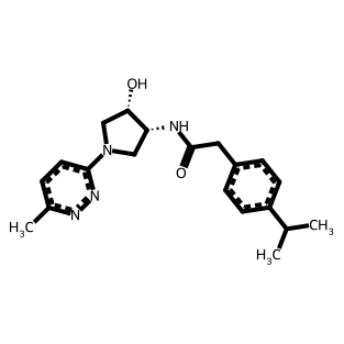 Cc1ccc(N2C[C@H](O)[C@H](NC(=O)Cc3ccc(C(C)C)cc3)C2)nn1